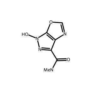 CNC(=O)c1nn(O)c2ocnc12